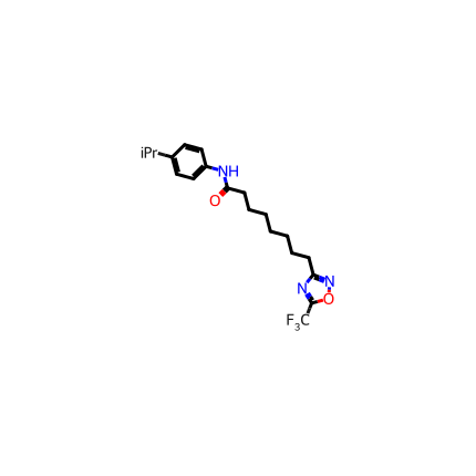 CC(C)c1ccc(NC(=O)CCCCCCCc2noc(C(F)(F)F)n2)cc1